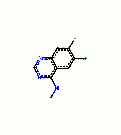 CNc1ncnc2cc(F)c(F)cc12